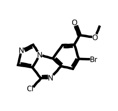 COC(=O)c1cc2c(cc1Br)nc(Cl)c1cncn12